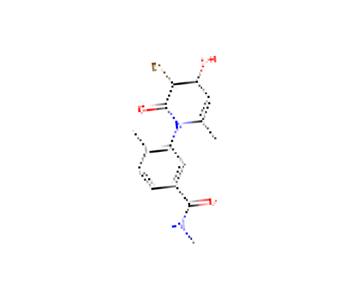 CNC(=O)c1ccc(C)c(-n2c(C)cc(O)c(Br)c2=O)c1